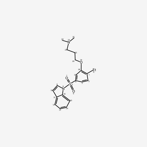 CCc1ccc(S(=O)(=O)n2ccc3ccccc32)cc1OCCCN(C)C